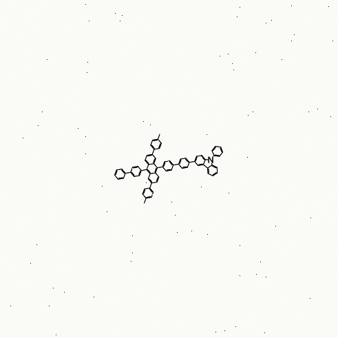 Cc1ccc(-c2ccc3c(-c4ccc(-c5ccc(-c6ccc7c(c6)c6ccccc6n7-c6ccccc6)cc5)cc4)c4cc(-c5ccc(C)cc5)ccc4c(-c4ccc(-c5ccccc5)cc4)c3c2)cc1